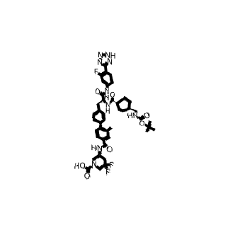 Cc1cc(C(=O)NC2CN(C(=O)O)CC(F)(F)C2)ccc1-c1ccc(C[C@H](NC(=O)[C@H]2CC[C@H](CNC(=O)OC(C)(C)C)CC2)C(=O)Nc2ccc(-c3nn[nH]n3)c(F)c2)cc1